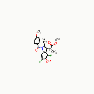 CCCCOC(=O)[C@@H](C)c1c(C)n(C(=O)c2ccc(OC(F)(F)F)cc2)c2cc(F)c(O)c(F)c12